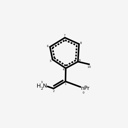 CCC/C(=C/N)c1ccccc1C